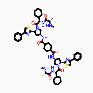 CN[C@@H](C)C(=O)N[C@H](C(=O)N1C[C@@H](NC(=O)C2CCC(C(=O)N[C@H]3C[C@@H](c4nc(-c5ccccc5)cs4)N(C(=O)[C@@H](NC(=O)[C@H](C)NC)C4CCCCC4)C3)CC2)C[C@H]1c1nc(-c2ccccc2)cs1)C1CCCCC1